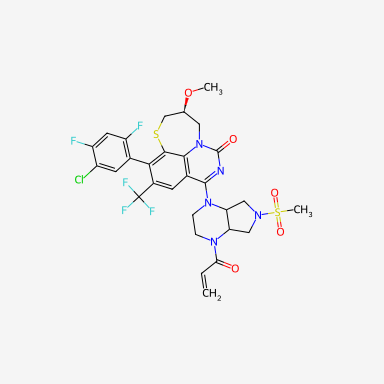 C=CC(=O)N1CCN(c2nc(=O)n3c4c(c(-c5cc(Cl)c(F)cc5F)c(C(F)(F)F)cc24)SC[C@@H](OC)C3)C2CN(S(C)(=O)=O)CC21